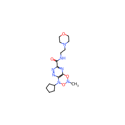 Cn1oc2nc(C(=O)NCCN3CCOCC3)nnc2n(C2CCCC2)o1